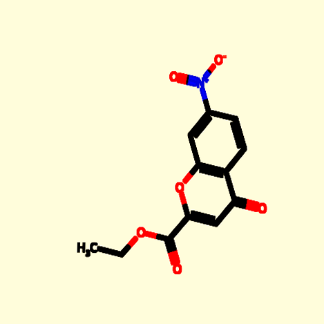 CCOC(=O)c1cc(=O)c2ccc([N+](=O)[O-])cc2o1